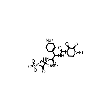 CCN1CCN(C(=O)NC(C(=O)NC2(OC)CN(S(=O)(=O)[O-])C2=O)C2=CCCCC2)C(=O)C1=O.[Na+]